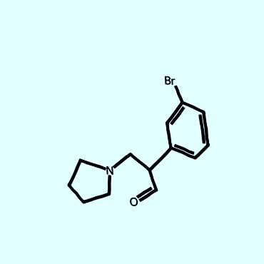 O=CC(CN1CCCC1)c1cccc(Br)c1